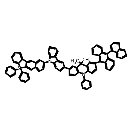 CC1(C)c2cc(-c3ccc4c(c3)c3ccccc3n4-c3ccc4cc5c(cc4c3)-c3ccccc3[Si]5(c3ccccc3)c3ccccc3)ccc2N(c2ccccc2)c2ccc(-c3c4ccccc4c(-c4cccc5ccccc45)c4ccccc34)cc21